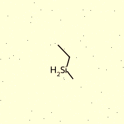 CC[SiH2]C